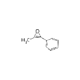 CC1=C(c2ccccc2)O1